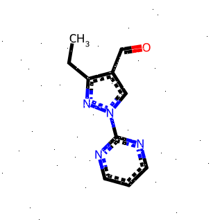 CCc1nn(-c2ncccn2)cc1C=O